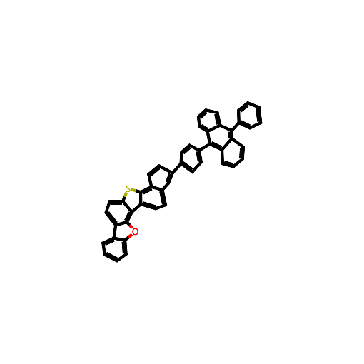 c1ccc(-c2c3ccccc3c(-c3ccc(-c4ccc5c(ccc6c5sc5ccc7c8ccccc8oc7c56)c4)cc3)c3ccccc23)cc1